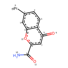 CCCc1ccc2c(=O)cc(C(N)=O)oc2c1